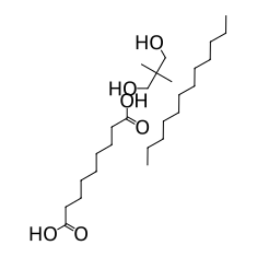 CC(C)(CO)CO.CCCCCCCCCCCC.O=C(O)CCCCCCCC(=O)O